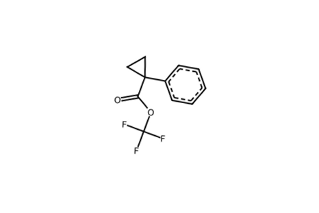 O=C(OC(F)(F)F)C1(c2ccccc2)CC1